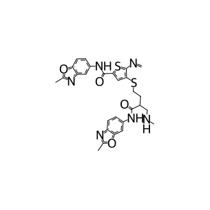 C=Nc1sc(C(=O)Nc2ccc3oc(C)nc3c2)cc1SCCC(CNC)C(=O)Nc1ccc2nc(C)oc2c1